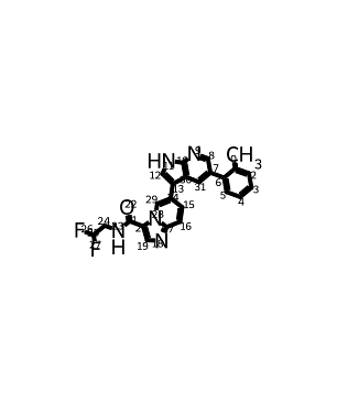 Cc1ccccc1-c1cnc2[nH]cc(-c3ccc4ncc(C(=O)NCC(F)F)n4c3)c2c1